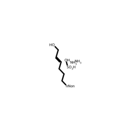 CCCCCCCCCCCCC=CCO.N.N.O=S(=O)(O)O